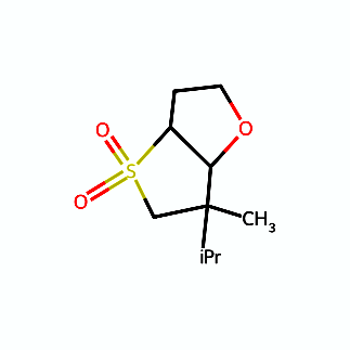 CC(C)C1(C)CS(=O)(=O)C2CCOC21